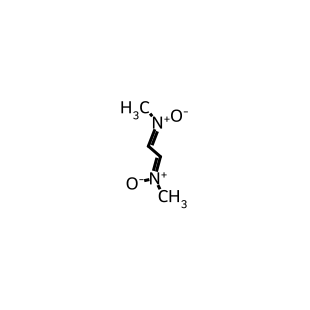 C[N+]([O-])=CC=[N+](C)[O-]